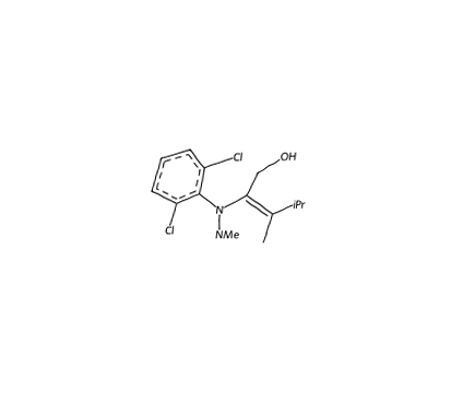 CNN(/C(CO)=C(\C)C(C)C)c1c(Cl)cccc1Cl